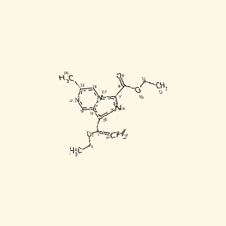 C=C(OCC)c1nc(C(=O)OCC)n2cc(C)ncc12